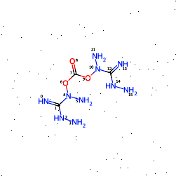 N=C(NN)N(N)OC(=O)ON(N)C(=N)NN